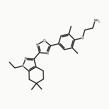 CCn1nc(-c2noc(-c3cc(C)c(OCCN)c(C)c3)n2)c2c1CC(C)(C)CC2